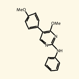 COc1ccc(-c2cnc(Nc3ccccc3)nc2OC)cc1